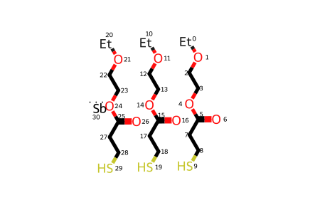 CCOCCOC(=O)CCS.CCOCCOC(=O)CCS.CCOCCOC(=O)CCS.[Sb]